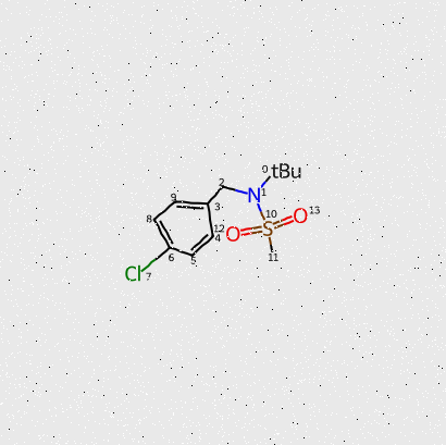 CC(C)(C)N(Cc1ccc(Cl)cc1)S(C)(=O)=O